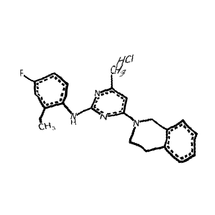 Cc1cc(N2CCc3ccccc3C2)nc(Nc2ccc(F)cc2C)n1.Cl